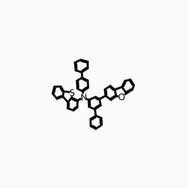 c1ccc(-c2ccc(N(c3cc(-c4ccccc4)cc(-c4ccc5c(c4)oc4ccccc45)c3)c3cccc4c3sc3ccccc34)cc2)cc1